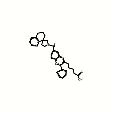 O=C(O)CCCCc1nc2cc(C(=O)N3CCC4(CCCc5ccccc54)C3)ccc2nc1-c1ccccc1